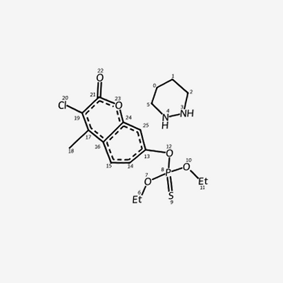 C1CCNNC1.CCOP(=S)(OCC)Oc1ccc2c(C)c(Cl)c(=O)oc2c1